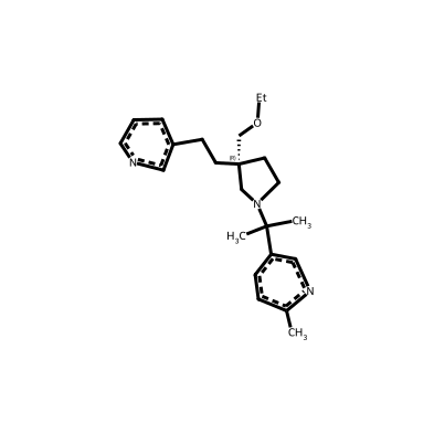 CCOC[C@]1(CCc2cccnc2)CCN(C(C)(C)c2ccc(C)nc2)C1